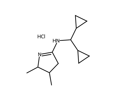 CC1CC(NC(C2CC2)C2CC2)=NC1C.Cl